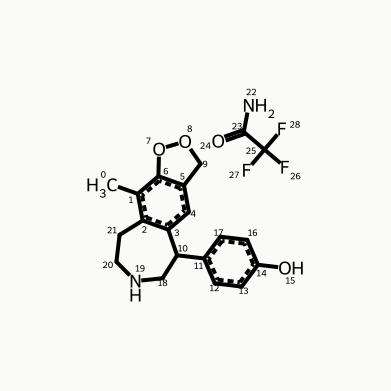 Cc1c2c(cc3c1OOC3)C(c1ccc(O)cc1)CNCC2.NC(=O)C(F)(F)F